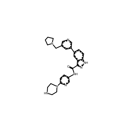 O=C(Nc1ccc(N2CCNCC2)nc1)c1n[nH]c2ccc(-c3cncc(CN4CCCC4)c3)cc12